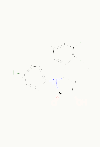 O=C1[C@@H](O)C[C@@H](c2cccc(Cl)c2Cl)N1c1ccc(Cl)cc1